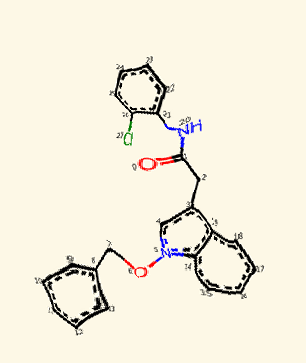 O=C(Cc1cn(OCc2ccccc2)c2ccccc12)Nc1ccccc1Cl